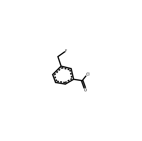 O=C(Cl)c1cccc(CF)c1